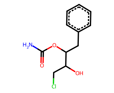 NC(=O)OC(Cc1ccccc1)C(O)CCl